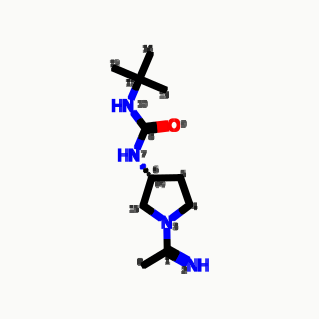 CC(=N)N1CC[C@@H](NC(=O)NC(C)(C)C)C1